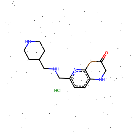 Cl.O=C1CNc2ccc(CNCC3CCNCC3)nc2S1